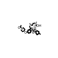 CC(=O)N1CCC(Oc2ccc3c(c2)c(CN(C)CCN(C)C(=O)O)nn3S(=O)(=O)c2ccc(C)cc2)CC1